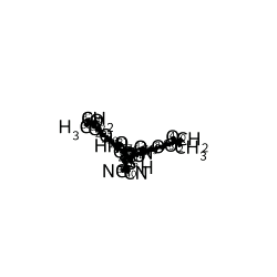 C=C(C)C(=O)OCCOCCNC(=O)Oc1ccc(OC(=O)NCCOCCOC(=O)C(=C)C)c2c1SC(=C(C#N)C#N)S2